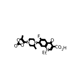 CCn1cc(C(=O)O)c(=O)c2cc(F)c(N3CCN(c4oc(=O)oc4C)CC3C)cc21